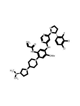 C=CC(=O)Nc1cc(Nc2cc(N3OCC[C@@H]3c3ccc(Cl)c(Cl)c3F)ncn2)c(OC)cc1N1CCC(N2CC[C@@H](N(C)C)C2)CC1